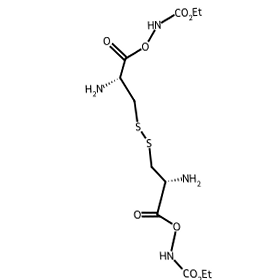 CCOC(=O)NOC(=O)[C@@H](N)CSSC[C@H](N)C(=O)ONC(=O)OCC